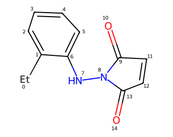 CCc1ccccc1NN1C(=O)C=CC1=O